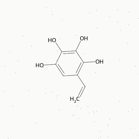 C=Cc1cc(O)c(O)c(O)c1O